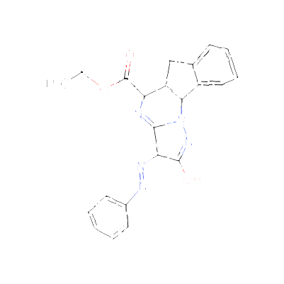 CCOC(=O)C1N=C2C(N=Nc3ccccc3)C(O)=NN2C2c3ccccc3CC12